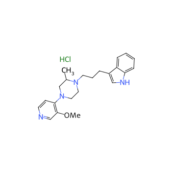 COc1cnccc1N1CCN(CCCc2c[nH]c3ccccc23)C(C)C1.Cl